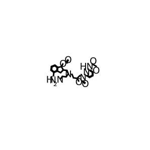 N#Cc1cccc2c1CC(CN(CCN)CCC1CN(c3ccc4c(n3)NC(=O)CO4)C(=O)O1)C2OC=O